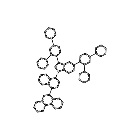 c1ccc(-c2ccc(-c3ccc4c(c3)c(-c3ccc(-c5ccccc5)cc3-c3ccccc3)cn4-c3ccc(-c4cc5ccccc5c5ccccc45)c4ccccc34)c(-c3ccccc3)c2)cc1